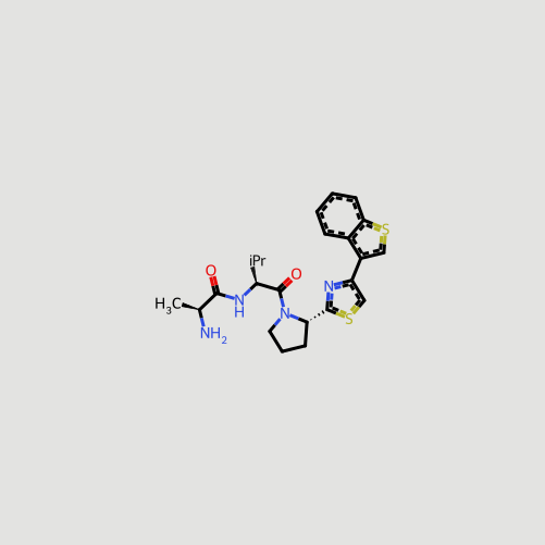 CC(C)[C@H](NC(=O)[C@H](C)N)C(=O)N1CCC[C@H]1c1nc(-c2csc3ccccc23)cs1